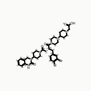 O=C(O)CN1CCC(N2CCN(C(=O)[C@@H](CC(=O)N3CCC(N4Cc5ccccc5NC4=O)CC3)Cc3ccc(Br)c(Br)c3)CC2)CC1